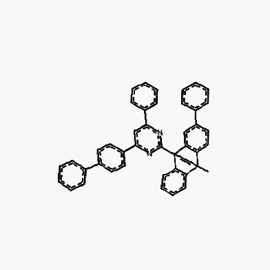 CC12C=CC(c3nc(-c4ccccc4)cc(-c4ccc(-c5ccccc5)cc4)n3)(c3ccccc31)c1cc(-c3ccccc3)ccc12